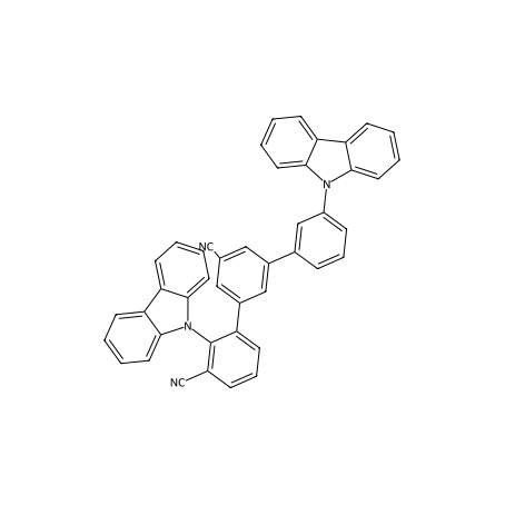 N#Cc1cc(-c2cccc(-n3c4ccccc4c4ccccc43)c2)cc(-c2cccc(C#N)c2-n2c3ccccc3c3ccccc32)c1